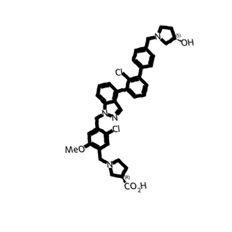 COc1cc(Cn2ncc3c(-c4cccc(-c5ccc(CN6CC[C@H](O)C6)cc5)c4Cl)cccc32)c(Cl)cc1CN1CC[C@@H](C(=O)O)C1